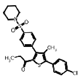 CCC(=O)c1sc(-c2ccc(Cl)cc2)c(C)c1-c1ccc(S(=O)(=O)N2CCCCC2)cc1